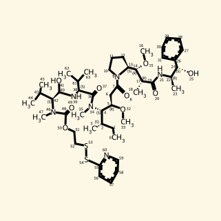 CC[C@H](C)[C@@H]([C@@H](CC(=O)N1CCC[C@H]1[C@H](OC)[C@@H](C)C(=O)N[C@H](C)[C@@H](O)c1ccccc1)OC)N(C)C(=O)[C@@H](NC(O)[C@H](C(C)C)N(C)C(=O)OCCSSc1ccccn1)C(C)C